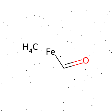 C.O=[CH][Fe]